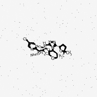 CO[C@H](c1ncc(Cl)cn1)[C@H](C)S(=O)(=O)Nc1nnc([C@@H]2CCC(C)(C)O2)n1C1CCOCC1